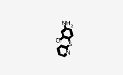 Nc1ccc(Sc2ccccn2)c(Cl)c1